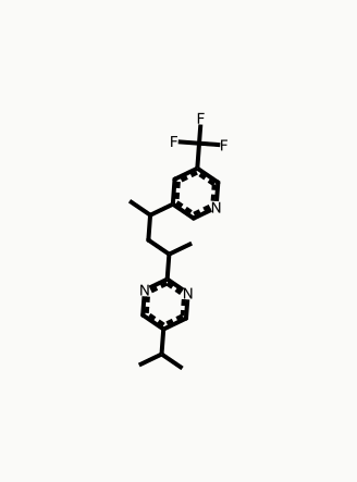 CC(C)c1cnc(C(C)CC(C)c2cncc(C(F)(F)F)c2)nc1